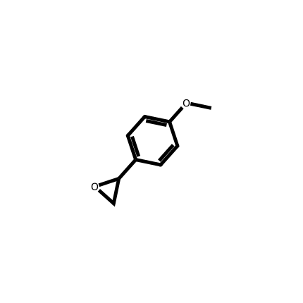 COc1ccc(C2CO2)cc1